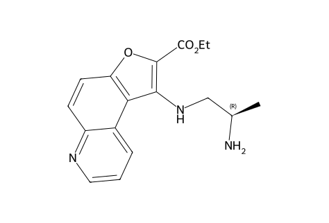 CCOC(=O)c1oc2ccc3ncccc3c2c1NC[C@@H](C)N